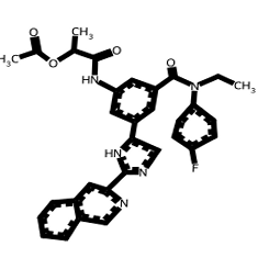 CCN(C(=O)c1cc(NC(=O)C(C)OC(C)=O)cc(-c2cnc(-c3cc4ccccc4cn3)[nH]2)c1)c1ccc(F)cc1